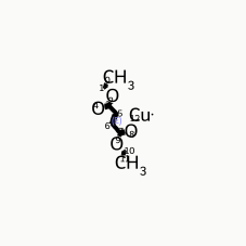 CCOC(=O)/C=C/C(=O)OCC.[Cu]